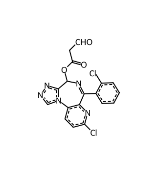 O=CCC(=O)OC1N=C(c2ccccc2Cl)c2nc(Cl)ccc2-n2cnnc21